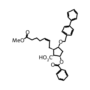 COC(=O)CCC/C=C\C[C@@H]1[C@@H](C(=O)O)[C@H](OC(=O)c2ccccc2)C[C@@H]1OCc1ccc(-c2ccccc2)cc1